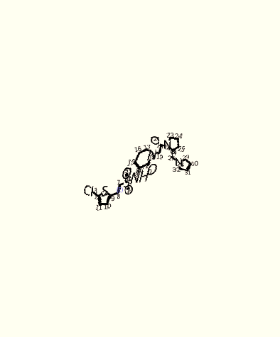 O=C1[C@@H](NS(=O)(=O)/C=C/c2ccc(Cl)s2)CCCN1CC(=O)N1CCC[C@H]1CN1CC=CC1